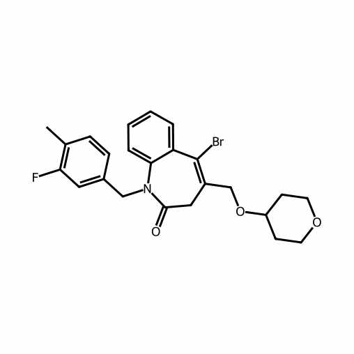 Cc1ccc(CN2C(=O)CC(COC3CCOCC3)=C(Br)c3ccccc32)cc1F